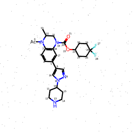 CC(=O)N1c2ccc(-c3cnn(C4CCNCC4)c3)cc2N(C(=O)OC2CCC(F)(F)CC2)CC1C